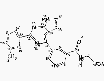 CCNC(=O)c1cncc(-c2nc(-c3cccc(C)n3)nc3[nH]ccc23)c1